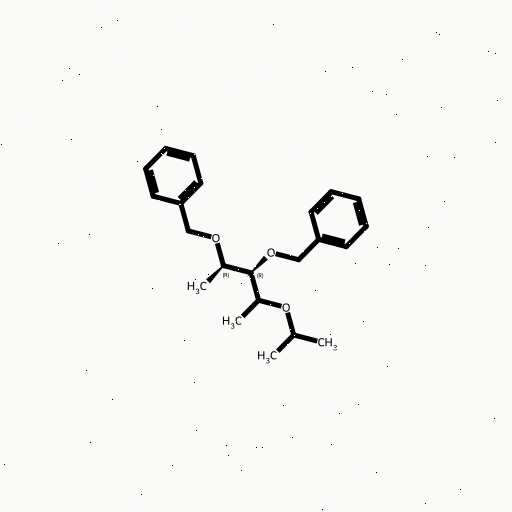 CC(C)OC(C)[C@H](OCc1ccccc1)[C@@H](C)OCc1ccccc1